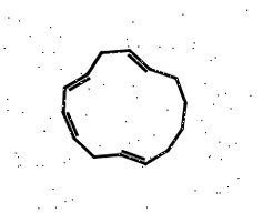 [C]1=C/C/C=C\C=C\C/C=C/CCCC/1